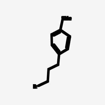 CSc1ccc(CCCBr)cc1